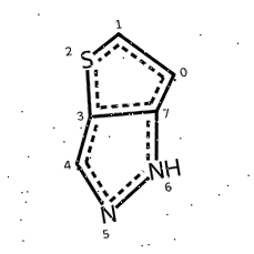 [c]1csc2[c]n[nH]c12